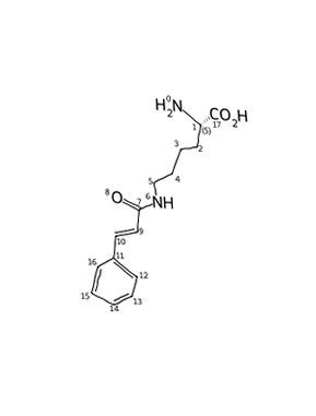 N[C@@H](CCCCNC(=O)C=Cc1ccccc1)C(=O)O